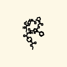 CCOC(=O)N1CCN(C(=O)[C@H](CCNC(=O)OC)NC(=O)c2cc(OCC(=O)N3CCC[C@H]3C(=O)NC3CCC3)n(-c3ccccc3)n2)CC1